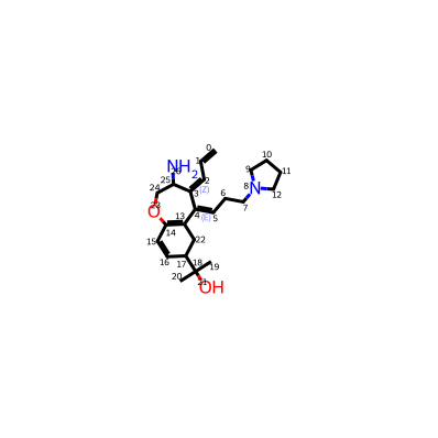 C=C/C=C1/C(=C\CCN2CCCC2)C2=C(C=CC(C(C)(C)O)C2)OCC1N